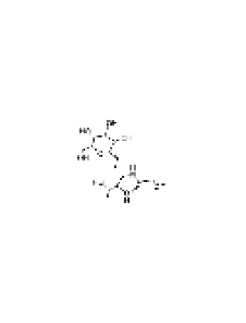 COCC(=O)N[C@@H](CC[C@H]1OC(CO)[C@H](O)C(O)C1O)C(O)[C@@H](C)O